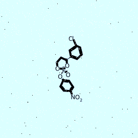 O=[N+]([O-])c1ccc(O[P@]2(=O)OCC[C@H](c3cccc(Cl)c3)O2)cc1